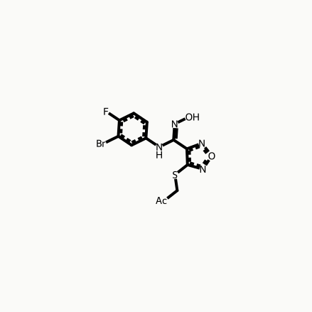 CC(=O)CSc1nonc1/C(=N\O)Nc1ccc(F)c(Br)c1